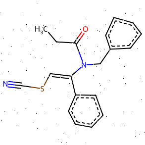 CCC(=O)N(Cc1ccccc1)/C(=C/SC#N)c1ccccc1